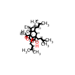 CCC(C)C(=O)C12C(=O)C(CC=C(C)C)=C(O)C(CC=C(C)C)(CC(CC=C(C)C)C1(C)C(CC)C(C)C)C2=O